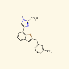 Cn1cc(-c2cccc3cc(Cc4cccc(C(F)(F)F)c4)sc23)nc1C(=O)O